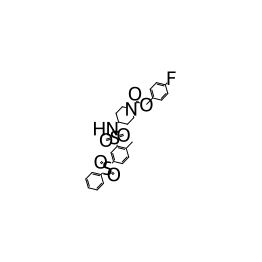 Cc1ccc(S(=O)(=O)c2ccccc2)cc1S(=O)(=O)NC1CCN(C(=O)Oc2ccc(F)cc2)CC1